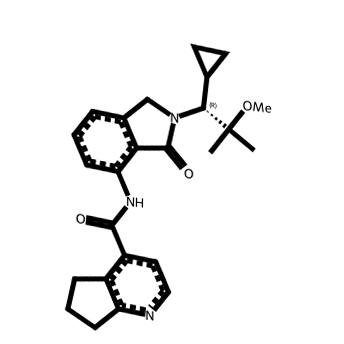 COC(C)(C)[C@@H](C1CC1)N1Cc2cccc(NC(=O)c3ccnc4c3CCC4)c2C1=O